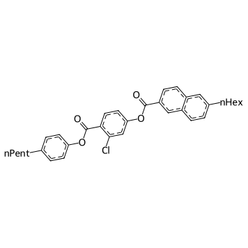 CCCCCCc1ccc2cc(C(=O)Oc3ccc(C(=O)Oc4ccc(CCCCC)cc4)c(Cl)c3)ccc2c1